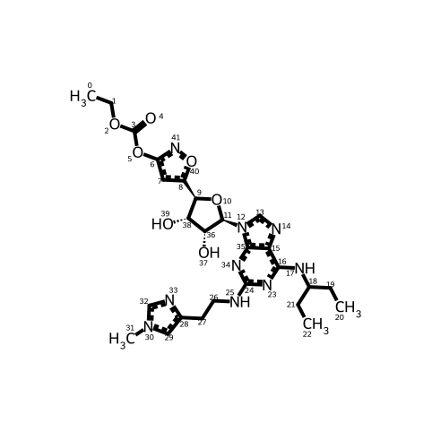 CCOC(=O)Oc1cc([C@H]2O[C@@H](n3cnc4c(NC(CC)CC)nc(NCCc5cn(C)cn5)nc43)[C@H](O)[C@@H]2O)on1